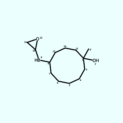 CC1(O)CCCCCC(BC2CO2)CCC1